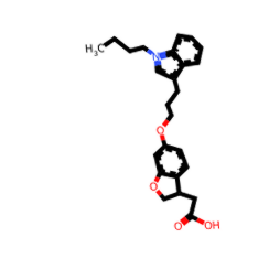 CCCCn1cc(CCCOc2ccc3c(c2)OCC3CC(=O)O)c2ccccc21